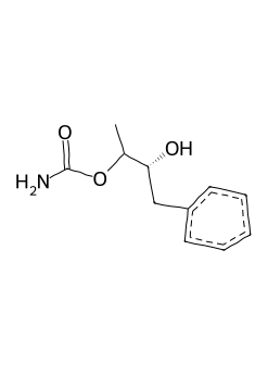 CC(OC(N)=O)[C@H](O)Cc1ccccc1